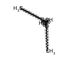 CCCCCCCCCCCCCCCCCCOC(=O)CC(O)(CC(=O)OCCCCCCCCCCCCCCCCCC)C(=O)O